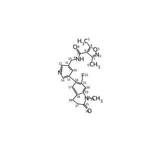 Cc1noc(C)c1C(=O)NCc1cncc(-c2cc3c(cc2F)N(C)C(=O)CC3)c1